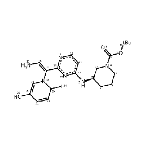 CC(C)(C)OC(=O)N1CCC[C@@H](Nc2ccnc(/C(=C/N)N3C=C(C#N)C=CC3I)n2)C1